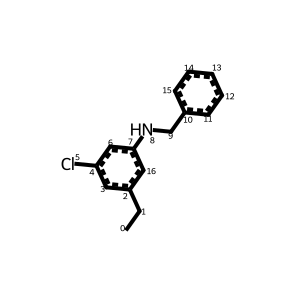 CCc1cc(Cl)cc(NCc2ccccc2)c1